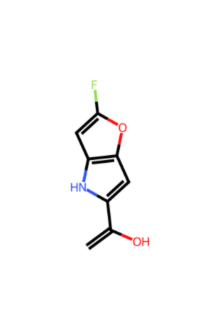 C=C(O)c1cc2oc(F)cc2[nH]1